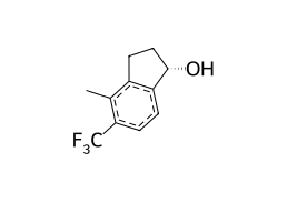 Cc1c(C(F)(F)F)ccc2c1CC[C@@H]2O